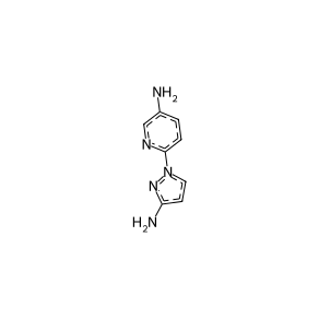 Nc1ccc(-n2ccc(N)n2)nc1